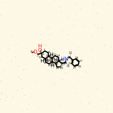 COC[C@@]1(O)CC[C@H]2[C@H](CC[C@@H]3[C@@H]2CC[C@]2(C)[C@@H]([C@@H](C)N[C@H](C)c4ccccc4)CC[C@@H]32)C1